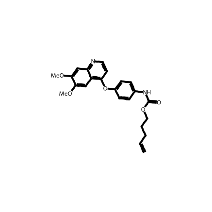 C=CCCCOC(=O)Nc1ccc(Oc2ccnc3cc(OC)c(OC)cc23)cc1